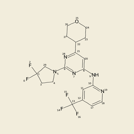 FC1(F)CCN(c2nc(Nc3cc(C(F)(F)F)ccn3)cc(C3CCOCC3)n2)C1